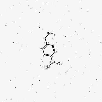 NCc1ccc([S+](N)[O-])cc1